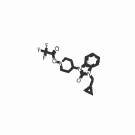 O=C(ON1CCC(n2c(=O)n(CC3CC3)c3ccccc32)CC1)C(F)(F)F